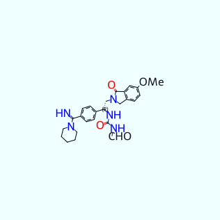 COc1ccc2c(c1)C(=O)N(C[C@H](NC(=O)NC=O)c1ccc(C(=N)N3CCCCC3)cc1)C2